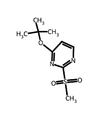 CC(C)(C)Oc1ccnc(S(C)(=O)=O)n1